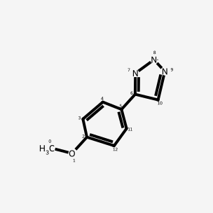 COc1ccc(C2=N[N]N=C2)cc1